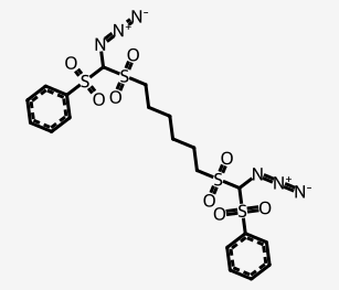 [N-]=[N+]=NC(S(=O)(=O)CCCCCCS(=O)(=O)C(N=[N+]=[N-])S(=O)(=O)c1ccccc1)S(=O)(=O)c1ccccc1